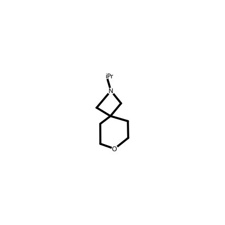 CC(C)N1CC2(CCOCC2)C1